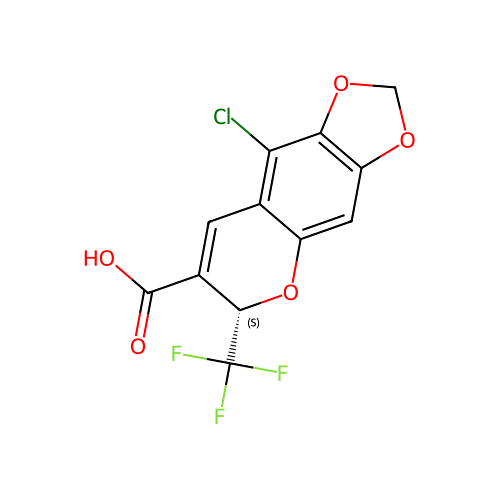 O=C(O)C1=Cc2c(cc3c(c2Cl)OCO3)O[C@@H]1C(F)(F)F